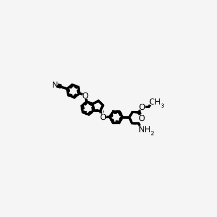 CCOC(=O)CC(CCN)c1ccc(O[C@@H]2CCc3c(Oc4ccc(C#N)cc4)cccc32)cc1